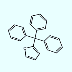 c1ccc(C(c2ccccc2)(c2ccccc2)c2ccco2)cc1